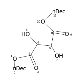 CCCCCCCCCCOC(=O)C(O)C(O)C(=O)OCCCCCCCCCC